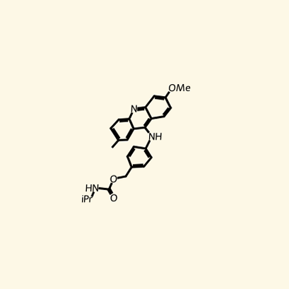 COc1ccc2c(Nc3ccc(COC(=O)NC(C)C)cc3)c3cc(C)ccc3nc2c1